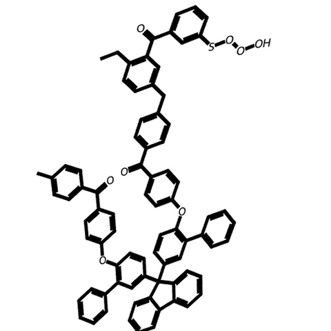 CCc1ccc(Cc2ccc(C(=O)c3ccc(Oc4ccc(C5(c6ccc(Oc7ccc(C(=O)c8ccc(C)cc8)cc7)c(-c7ccccc7)c6)c6ccccc6-c6ccccc65)cc4-c4ccccc4)cc3)cc2)cc1C(=O)c1cccc(SOOO)c1